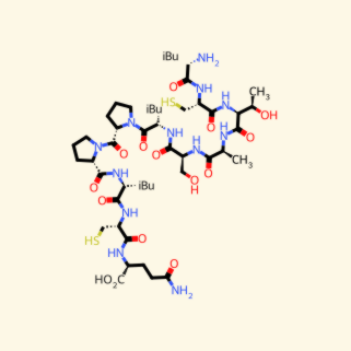 CC[C@H](C)[C@H](N)C(=O)N[C@@H](CS)C(=O)N[C@H](C(=O)N[C@@H](C)C(=O)N[C@@H](CO)C(=O)N[C@H](C(=O)N1CCC[C@H]1C(=O)N1CCC[C@H]1C(=O)N[C@H](C(=O)N[C@@H](CS)C(=O)N[C@@H](CCC(N)=O)C(=O)O)[C@@H](C)CC)[C@@H](C)CC)[C@@H](C)O